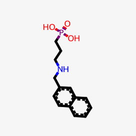 O=P(O)(O)CCCNCc1ccc2ccccc2c1